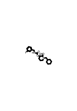 O=C(NCc1cccc(F)c1)O[C@]1(O)CCCN(CC2CCCCC2)C1=O